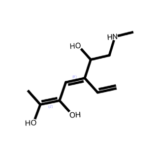 C=C/C(=C\C(O)=C(/C)O)C(O)CNC